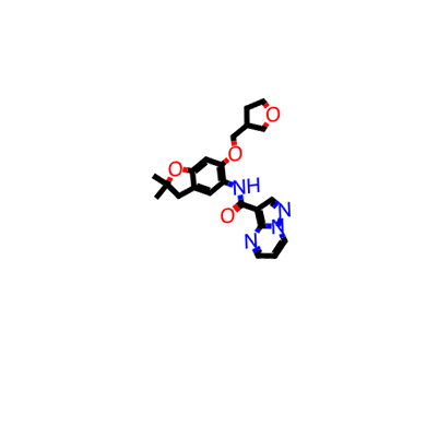 CC1(C)Cc2cc(NC(=O)c3cnn4cccnc34)c(OCC3CCOC3)cc2O1